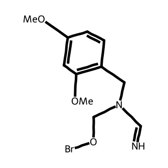 COc1ccc(CN(C=N)COBr)c(OC)c1